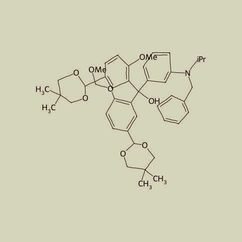 COCOc1ccc(C2OCC(C)(C)CO2)cc1C(O)(c1cccc(N(Cc2ccccc2)C(C)C)c1)c1cc(C2OCC(C)(C)CO2)ccc1OC